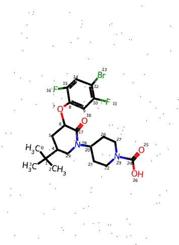 CC(C)(C)C1CC(Oc2cc(F)c(Br)cc2F)C(=O)N(C2CCN(C(=O)O)CC2)C1